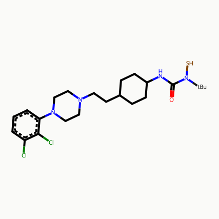 CC(C)(C)N(S)C(=O)NC1CCC(CCN2CCN(c3cccc(Cl)c3Cl)CC2)CC1